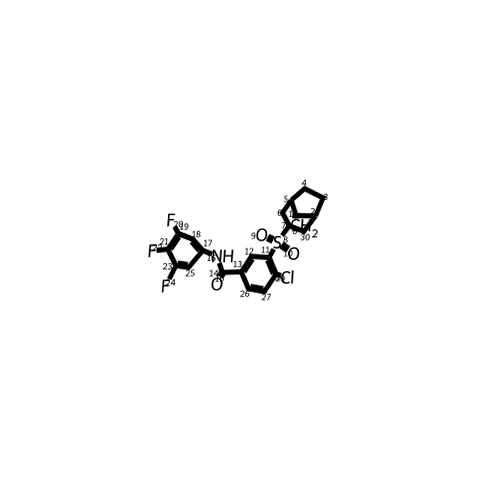 C=C1C2CCC1CC(S(=O)(=O)c1cc(C(=O)Nc3cc(F)c(F)c(F)c3)ccc1Cl)C2